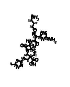 Cc1nnc(SCC2(C(=O)O)CS[C@@H]3C(NC(=O)C(=NOCCCN)c4nsc(N)n4)C(=O)N3C2)s1